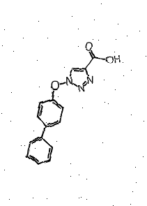 O=C(O)c1cn(Oc2ccc(-c3ccccc3)cc2)nn1